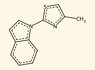 Cc1csc(-n2ccc3ccccc32)n1